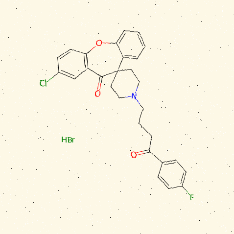 Br.O=C(CCCN1CCC2(CC1)C(=O)c1cc(Cl)ccc1Oc1ccccc12)c1ccc(F)cc1